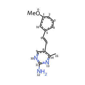 COc1cccc(/C=C/c2cnc(N)nc2C)c1